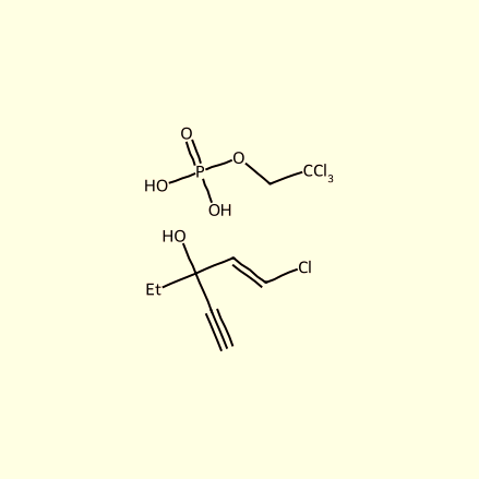 C#CC(O)(/C=C/Cl)CC.O=P(O)(O)OCC(Cl)(Cl)Cl